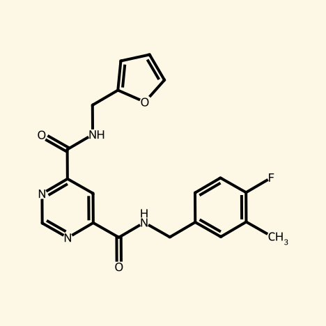 Cc1cc(CNC(=O)c2cc(C(=O)NCc3ccco3)ncn2)ccc1F